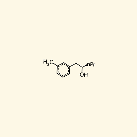 CCC[C@@H](O)Cc1cccc(C)c1